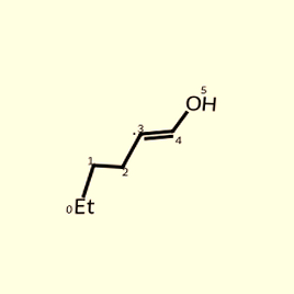 CCCC/[C]=C/O